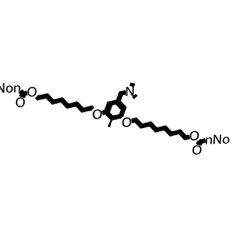 CCCCCCCCCC(=O)OCCCCCCCCOC1=CC(CN(C)C)=CC(OCCCCCCCCOC(=O)CCCCCCCCC)[C@H]1C